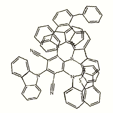 N#Cc1c(-n2c3ccccc3c3ccccc32)c(C#N)c(-n2c3ccccc3c3ccccc32)c(-n2c3cc(-c4c(-c5ccccc5)cccc4-c4ccccc4)ccc3c3ccc4c5ccccc5sc4c32)c1-n1c2ccccc2c2ccccc21